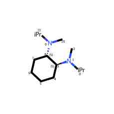 CC(C)N(C)[C@H]1CCCC[C@@H]1N(C)C(C)C